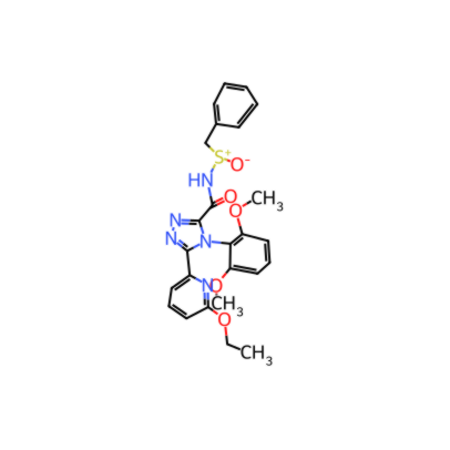 CCOc1cccc(-c2nnc(C(=O)N[S+]([O-])Cc3ccccc3)n2-c2c(OC)cccc2OC)n1